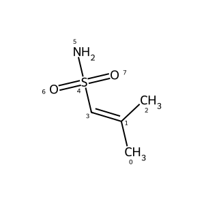 CC(C)=CS(N)(=O)=O